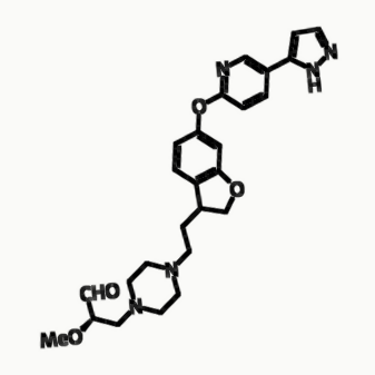 CO[C@@H](C=O)CN1CCN(CCC2COc3cc(Oc4ccc(-c5ccn[nH]5)cn4)ccc32)CC1